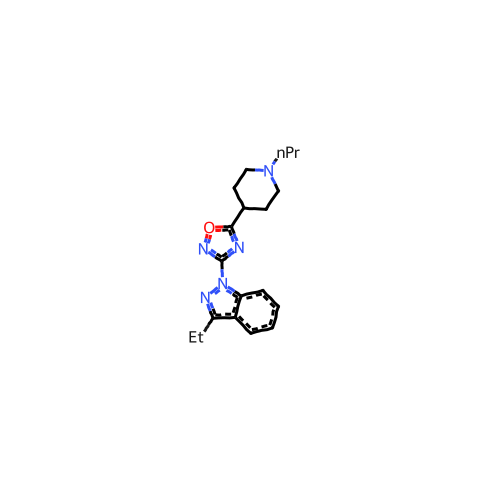 CCCN1CCC(c2nc(-n3nc(CC)c4ccccc43)no2)CC1